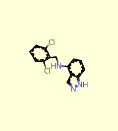 Clc1cccc(Cl)c1CNc1cccc2[nH]ncc12